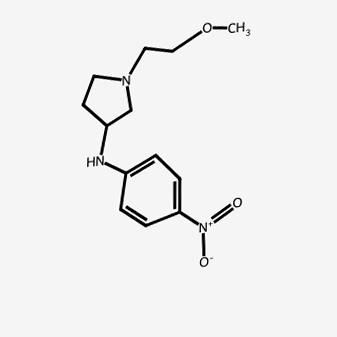 COCCN1CCC(Nc2ccc([N+](=O)[O-])cc2)C1